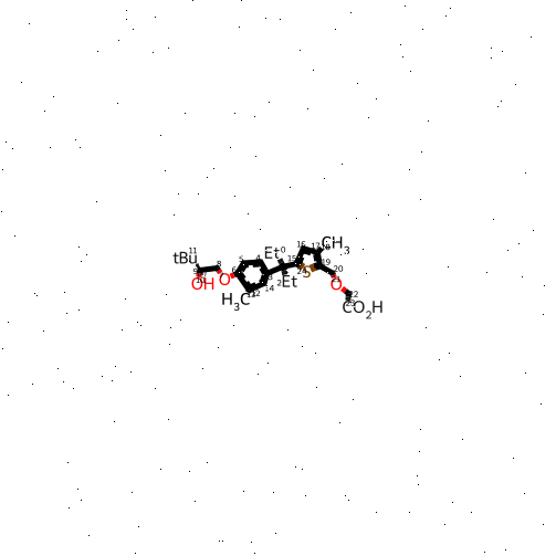 CCC(CC)(c1ccc(OC[C@@H](O)C(C)(C)C)c(C)c1)c1cc(C)c(COCC(=O)O)s1